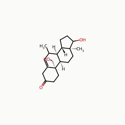 CC1C=C2CC(=O)CC[C@]2(CO)[C@@H]2CC[C@]3(C)C(O)CC[C@H]3[C@H]12